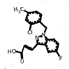 Cc1ccc(Cn2nc(/C=C/C(=O)O)c3cc(F)ccc32)c(Cl)c1